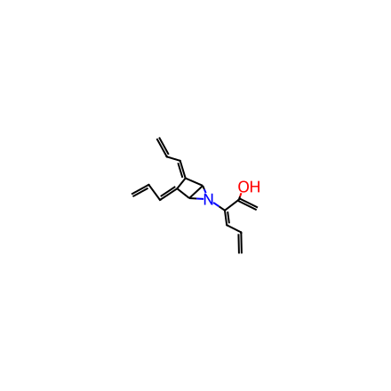 C=C/C=C1\C(=C/C=C)C2C1N2/C(=C/C=C)C(=C)O